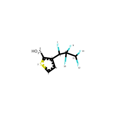 O=S(=O)(O)c1sccc1C(F)C(F)(F)C(F)F